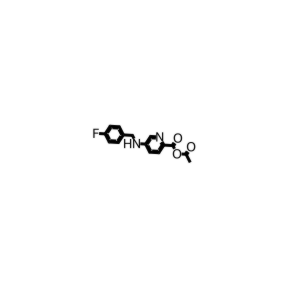 CC(=O)OC(=O)c1ccc(NCc2ccc(F)cc2)cn1